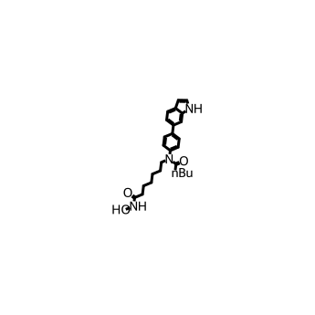 CCCCC(=O)N(CCCCCCC(=O)NO)c1ccc(-c2ccc3cc[nH]c3c2)cc1